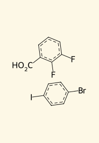 Brc1ccc(I)cc1.O=C(O)c1cccc(F)c1F